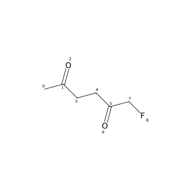 CC(=O)CCC(=O)CF